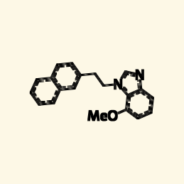 COc1cccc2ncn(CCc3ccc4ccccc4c3)c12